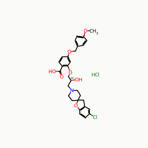 COc1ccc(COc2ccc(C(=O)O)c(OC[C@@H](O)CN3CCC4(CC3)Cc3cc(Cl)ccc3O4)c2)cc1.Cl